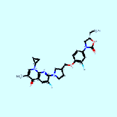 CC(=O)NC[C@H]1CN(c2ccc(OCC3CCN(c4nc5c(cc4F)c(=O)c(C(=O)O)cn5C4CC4)C3)c(F)c2)C(=O)O1